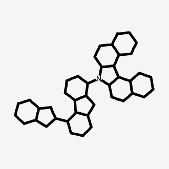 C1CCC2CC(C3CCCC4CC5C(CCCC5N5C6CCC7CCCCC7C6C6C7CCCCC7CCC65)C43)CC2C1